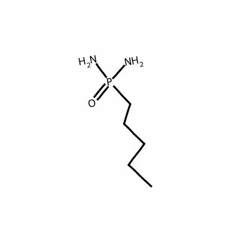 CCCCCP(N)(N)=O